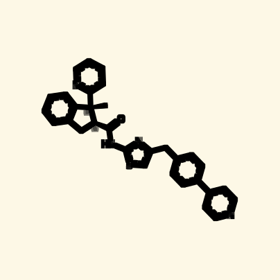 C[C@]1(c2ccccn2)c2ccccc2C[C@@H]1C(=O)Nc1nc(Cc2ccc(-c3ccncc3)cc2)cs1